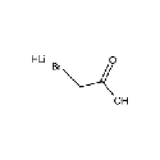 O=C(O)CBr.[LiH]